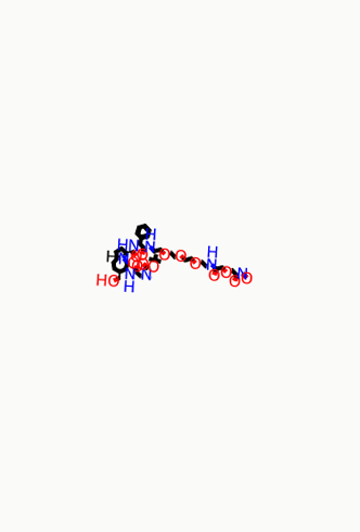 CN(CC(=O)N[C@@H]1C(=O)N2[C@@H](CC[C@@H]1CO)CC[C@H]2C(=O)N[C@H](C(=O)NCCOCCOCCOCCNC(=O)COCC(=O)N=O)c1ccccc1)C(=O)OC(C)(C)C